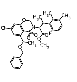 COC(=O)[C@H](C(C)c1c(F)ccc(C)c1C)N1COc2cc(Cl)cc(C(C)OCc3ccccc3)c2S1(=O)=O